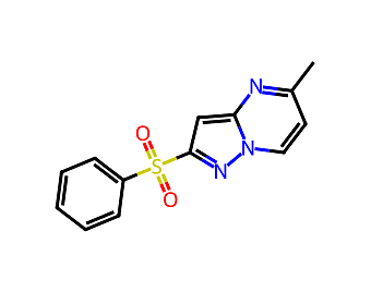 Cc1ccn2nc(S(=O)(=O)c3ccccc3)cc2n1